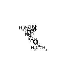 CC(C)Oc1ccc(-c2nsc(Nc3ncc(C(F)(F)F)cc3C(=O)N(C)C)n2)nc1